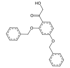 O=C(CO)c1ccc(OCc2ccccc2)cc1OCc1ccccc1